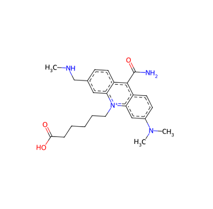 CNCc1ccc2c(C(N)=O)c3ccc(N(C)C)cc3[n+](CCCCCC(=O)O)c2c1